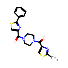 Cc1nc(C(=O)N2CCN(C(=O)c3csc(-c4ccccc4)n3)CC2)cs1